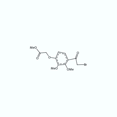 COC(=O)COc1ccc(C(=O)CBr)c(OC)c1OC